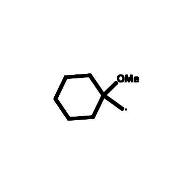 [CH2]C1(OC)CCCCC1